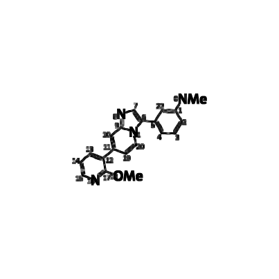 CNc1cccc(-c2cnc3cc(-c4cccnc4OC)ccn23)c1